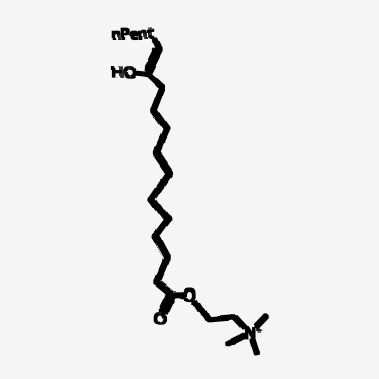 CCCCCC=C(O)CCCCCCCCCCC(=O)OCC[N+](C)(C)C